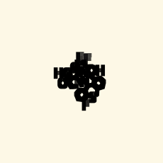 CC(N1CN([C@@H]2c3cccc(F)c3SCc3cccc(CO)c32)n2ccc(=O)c(O)c2C1=O)C(F)(F)F